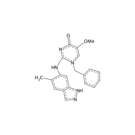 COc1cn(Cc2ccccc2)c(Nc2cc3[nH]ncc3cc2C)nc1=O